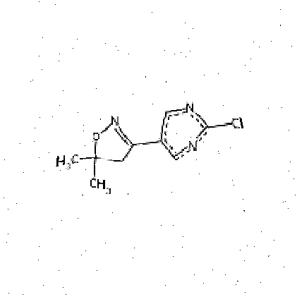 CC1(C)CC(c2cnc(Cl)nc2)=NO1